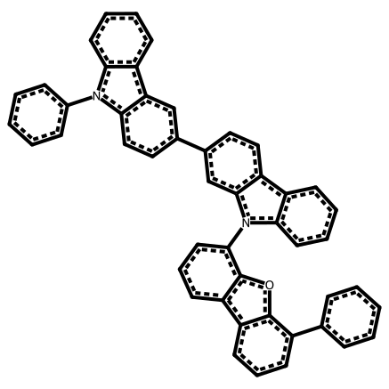 c1ccc(-c2cccc3c2oc2c(-n4c5ccccc5c5ccc(-c6ccc7c(c6)c6ccccc6n7-c6ccccc6)cc54)cccc23)cc1